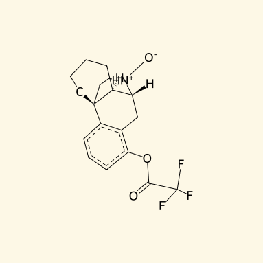 O=C(Oc1cccc2c1C[C@@H]1[C@@H]3CCCC[C@]23CC[NH+]1[O-])C(F)(F)F